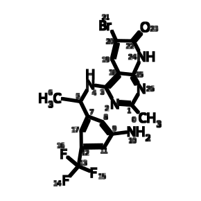 Cc1nc(NC(C)c2cc(N)cc(C(F)(F)F)c2)c2cc(Br)c(=O)[nH]c2n1